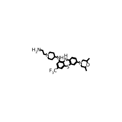 CC1CN(c2ccc3c(c2)Sc2cc(C(F)(F)F)cc(NC4CCN(CCN)CC4)c2N3)CC(C)O1